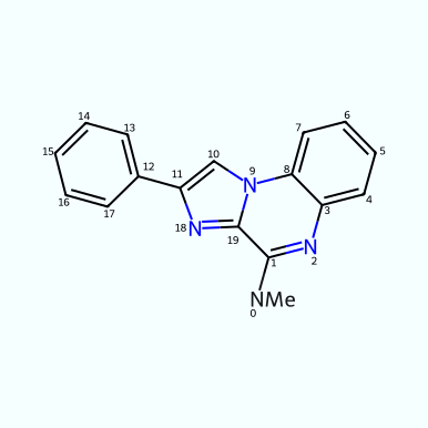 CNc1nc2ccccc2n2cc(-c3ccccc3)nc12